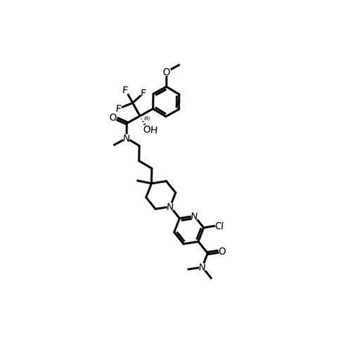 COc1cccc([C@@](O)(C(=O)N(C)CCCC2(C)CCN(c3ccc(C(=O)N(C)C)c(Cl)n3)CC2)C(F)(F)F)c1